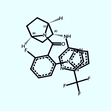 O=C(c1c(F)cccc1-n1nccn1)N1[C@@H]2CC[C@H]1[C@H](Nc1cnc(C(F)(F)F)cn1)C2